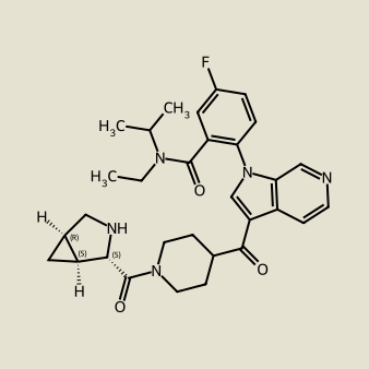 CCN(C(=O)c1cc(F)ccc1-n1cc(C(=O)C2CCN(C(=O)[C@H]3NC[C@@H]4C[C@@H]43)CC2)c2ccncc21)C(C)C